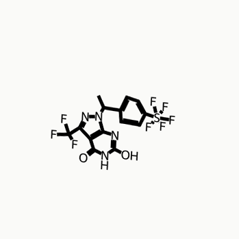 CC(c1ccc(S(F)(F)(F)(F)F)cc1)n1nc(C(F)(F)F)c2c(=O)[nH]c(O)nc21